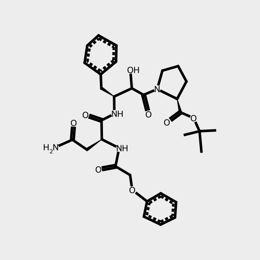 CC(C)(C)OC(=O)[C@@H]1CCCN1C(=O)C(O)[C@H](Cc1ccccc1)NC(=O)[C@H](CC(N)=O)NC(=O)COc1ccccc1